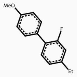 CCc1ccc(-c2ccc(OC)cc2)c(F)c1